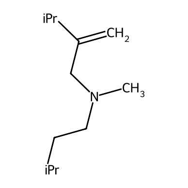 C=C(CN(C)CCC(C)C)C(C)C